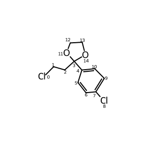 ClCCC1(c2ccc(Cl)cc2)OCCO1